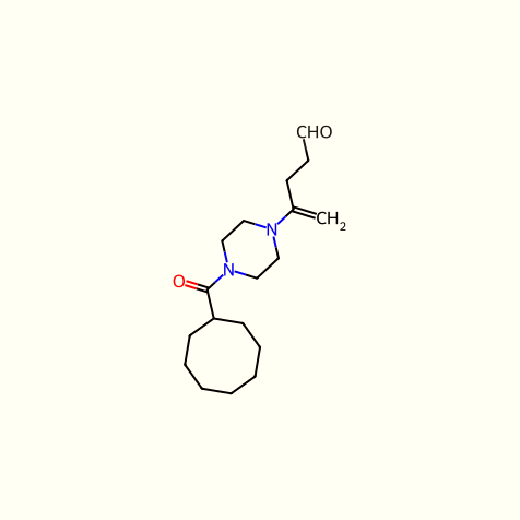 C=C(CCC=O)N1CCN(C(=O)C2CCCCCCC2)CC1